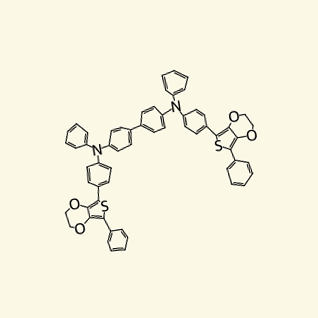 c1ccc(-c2sc(-c3ccc(N(c4ccccc4)c4ccc(-c5ccc(N(c6ccccc6)c6ccc(-c7sc(-c8ccccc8)c8c7OCCO8)cc6)cc5)cc4)cc3)c3c2OCCO3)cc1